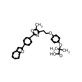 Cc1oc(-c2ccc(-c3cc4ccccc4o3)cc2)nc1CCOc1ccc(OC(C)(C)C(=O)O)cc1